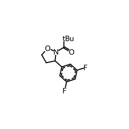 CC(C)(C)C(=O)N1OCCC1c1cc(F)cc(F)c1